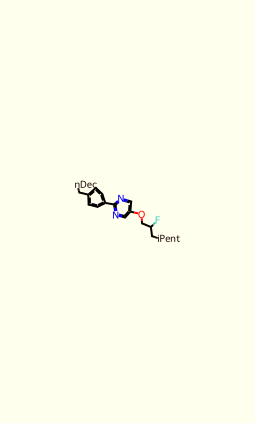 CCCCCCCCCCCc1ccc(-c2ncc(OCC(F)CC(C)CCC)cn2)cc1